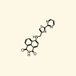 O=C1NC(=O)c2ccc(NCc3csc(-c4ncccn4)n3)c3cccc1c23